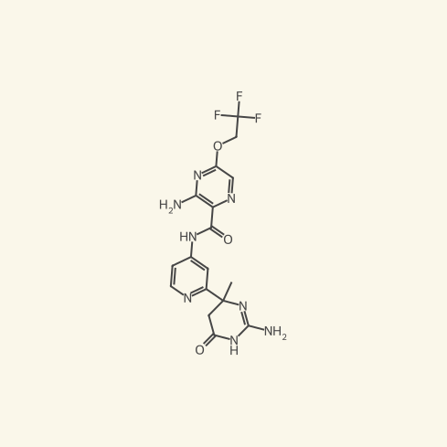 CC1(c2cc(NC(=O)c3ncc(OCC(F)(F)F)nc3N)ccn2)CC(=O)NC(N)=N1